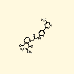 Cc1cncc(-c2ccc(NC(=O)CN3CCCC(C=O)=C3C(=O)N(C)C)nc2)n1